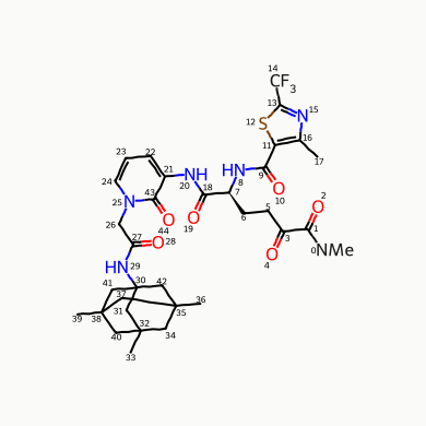 CNC(=O)C(=O)CC[C@H](NC(=O)c1sc(C(F)(F)F)nc1C)C(=O)Nc1cccn(CC(=O)NC23CC4(C)CC(C)(CC(C)(C4)C2)C3)c1=O